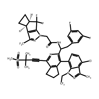 Cc1nn(CC(F)(F)F)c2c(-c3c(C(Cc4cc(F)cc(F)c4)NC(=O)Cn4nc(C(F)(F)F)c5c4C(F)(F)[C@@H]4CC[C@H]54)nc(C#CC(C)(C)S(C)(=O)=O)c4c3CCC4)ccc(Cl)c12